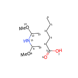 CCCCCC(=O)O.COC(C)NC(C)OC